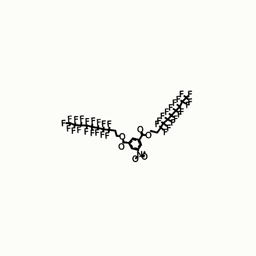 O=C(OCCC(F)(F)C(F)(F)C(F)(F)C(F)(F)C(F)(F)C(F)(F)C(F)(F)C(F)(F)F)c1cc(C(=O)OCCC(F)(F)C(F)(F)C(F)(F)C(F)(F)C(F)(F)C(F)(F)C(F)(F)C(F)(F)F)cc([N+](=O)[O-])c1